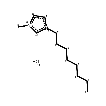 CCCCCCCC[n+]1ccn(C)c1.Cl